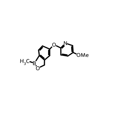 COc1ccc(Oc2ccc3c(c2)COB3C)nc1